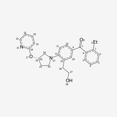 CCc1ccccc1C(=O)c1ccc(N2CC[C@H](Oc3ccccn3)C2)c(CCO)c1